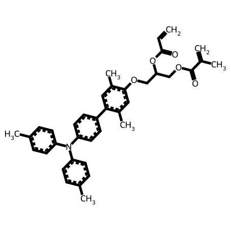 C=CC(=O)OC(COC(=O)C(=C)C)COc1cc(C)c(-c2ccc(N(c3ccc(C)cc3)c3ccc(C)cc3)cc2)cc1C